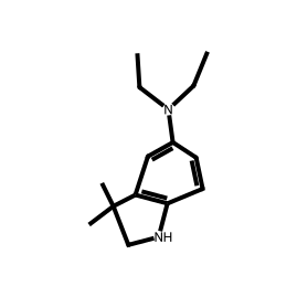 CCN(CC)c1ccc2c(c1)C(C)(C)CN2